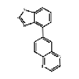 [c]1nc2c(-c3ccc4nccnc4c3)cccc2s1